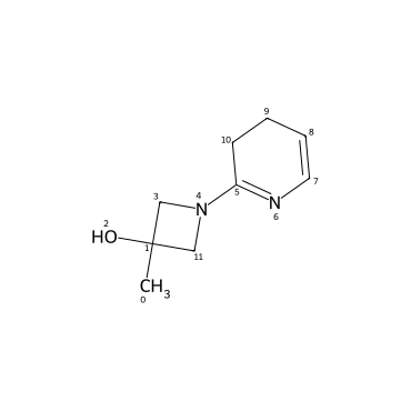 CC1(O)CN(C2=NC=CCC2)C1